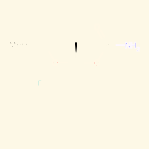 COCO[C@](C)(OC(N)=O)c1ccccc1F